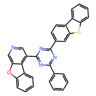 c1ccc(-c2nc(-c3ccc4c(c3)sc3ccccc34)nc(-c3cncc4oc5ccccc5c34)n2)cc1